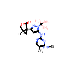 BC(B)(B)n1nc([C@@]23C[C@@H]2COC3=O)cc1Nc1ncc(C(F)(F)F)c(NCC)n1